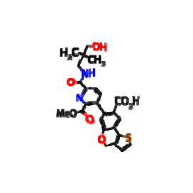 COC(=O)c1nc(C(=O)NCC(C)(C)CO)ccc1-c1cc2c(cc1C(=O)O)-c1sccc1CO2